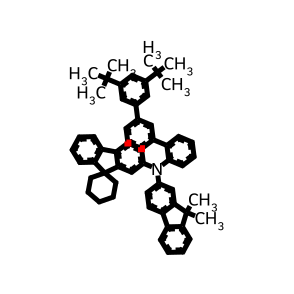 CC(C)(C)c1cc(-c2cccc(-c3ccccc3N(c3ccc4c(c3)C(C)(C)c3ccccc3-4)c3ccc4c(c3)C3(CCCCC3)c3ccccc3-4)c2)cc(C(C)(C)C)c1